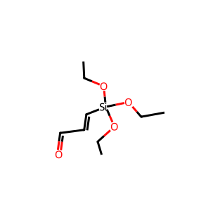 CCO[Si](C=CC=O)(OCC)OCC